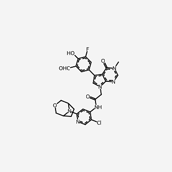 Cn1cnc2c(c(-c3cc(F)c(O)c(C=O)c3)cn2CC(=O)Nc2cc(N3C4CCC3COC4)ncc2Cl)c1=O